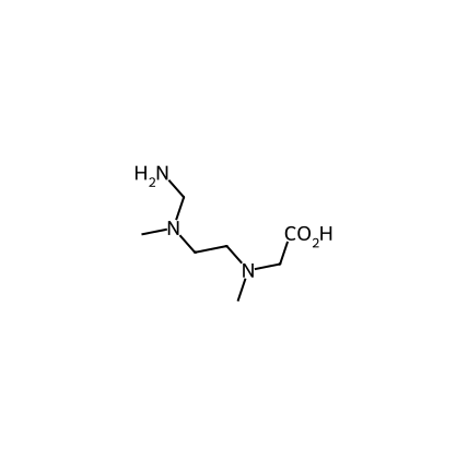 CN(CN)CCN(C)CC(=O)O